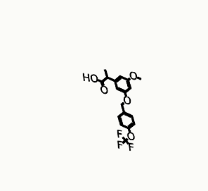 COc1cc(OCc2ccc(OC(F)(F)F)cc2)cc(C(C)C(=O)O)c1